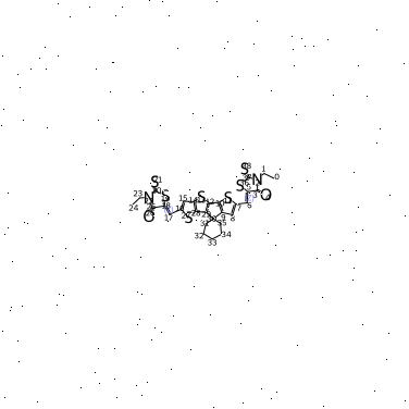 CCN1C(=O)/C(=C/c2cc3c(s2)-c2sc4cc(/C=C5\SC(=S)N(CC)C5=O)sc4c2C32CCCCC2)SC1=S